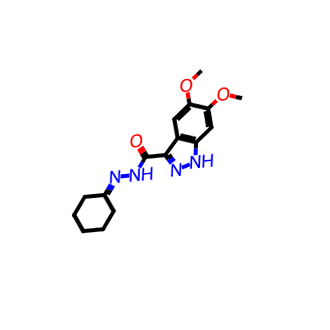 COc1cc2[nH]nc(C(=O)NN=C3CCCCC3)c2cc1OC